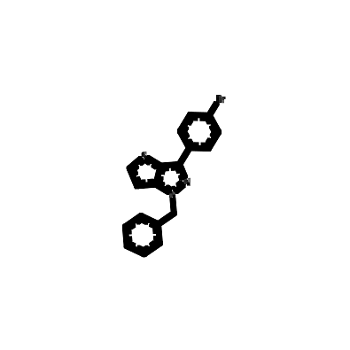 Brc1ccc(-c2nn(Cc3ccccc3)c3ccsc23)cc1